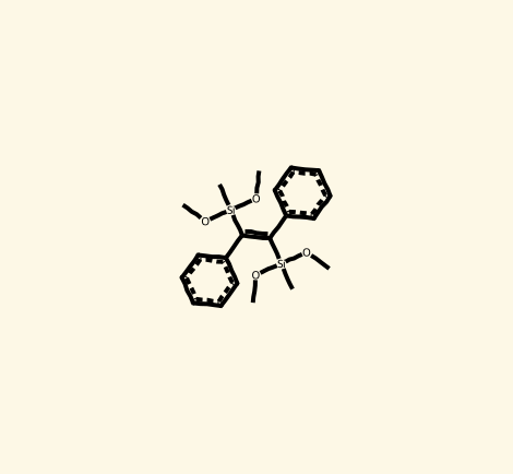 CO[Si](C)(OC)C(=C(c1ccccc1)[Si](C)(OC)OC)c1ccccc1